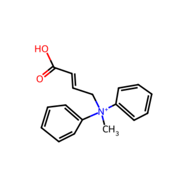 C[N+](CC=CC(=O)O)(c1ccccc1)c1ccccc1